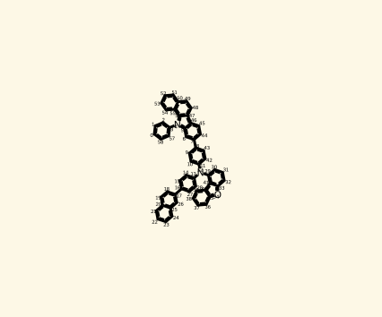 c1ccc(-n2c3cc(-c4ccc(N(c5ccc(-c6ccc7ccccc7c6)cc5)c5cccc6oc7ccccc7c56)cc4)ccc3c3ccc4ccccc4c32)cc1